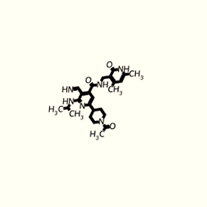 CC(=O)N1CCC(c2cc(C(=O)NCc3c(C)cc(C)[nH]c3=O)c(C=N)c(NC(C)C)n2)CC1